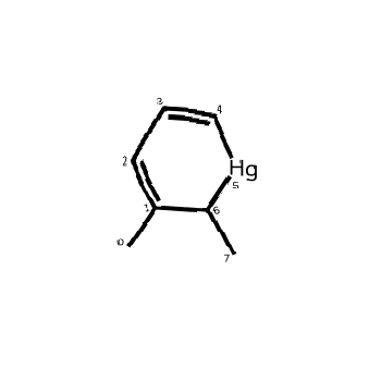 CC1=CC=[CH][Hg][CH]1C